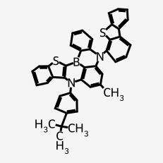 Cc1cc2c3c(c1)N(c1cccc4c1sc1ccccc14)c1ccccc1B3c1sc3ccccc3c1N2c1ccc(C(C)(C)C)cc1